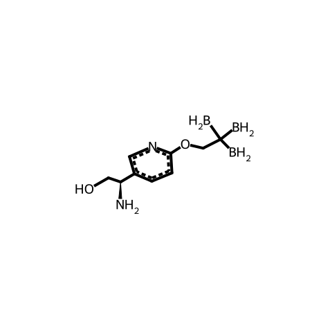 BC(B)(B)COc1ccc([C@@H](N)CO)cn1